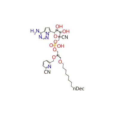 CCCCCCCCCCCCCCCCCCOC[C@H](COP(=O)(O)OC[C@@]1(C#N)OC(c2ccc3c(N)ncnn23)[C@H](O)[C@@H]1O)OCc1cccc(C#N)n1